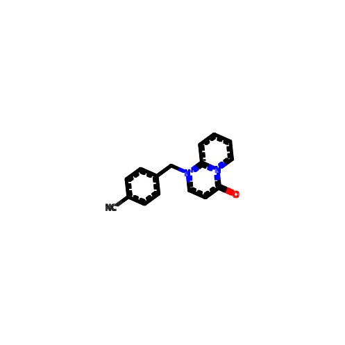 N#Cc1ccc(C[n+]2ccc(=O)n3ccccc32)cc1